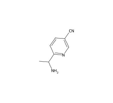 CC(N)c1ccc(C#N)cn1